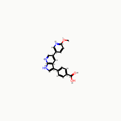 COc1ccc(-c2cnc3[nH]cc(-c4ccc(C(=O)O)cc4)c3c2)cn1